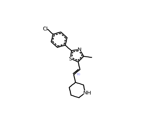 Cc1nc(-c2ccc(Cl)cc2)sc1/C=C/C1CCCNC1